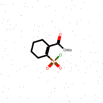 COC(=O)C1=C(S(=O)(=O)Cl)CCCC1